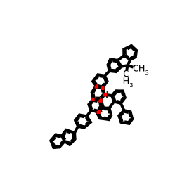 CC1(C)c2ccccc2-c2ccc(-c3cccc(N(c4ccc(-c5ccc(-c6ccc7ccccc7c6)cc5)cc4)c4cccc(-c5ccccc5)c4-c4ccccc4-c4ccccc4)c3)cc21